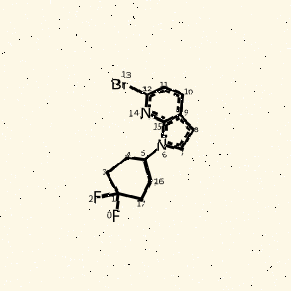 FC1(F)CCC(n2ccc3ccc(Br)nc32)CC1